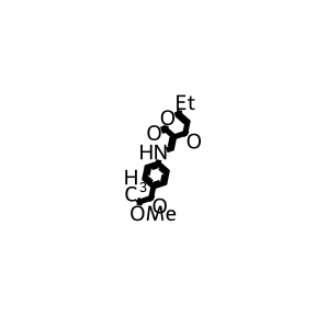 CCC1=CC(=O)C(=CNc2ccc(C(=O)C(C)OC)cc2)C(=O)O1